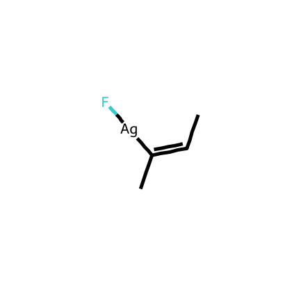 CC=[C](C)[Ag][F]